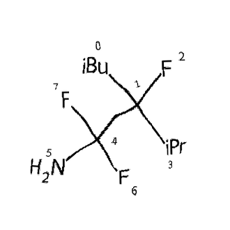 CCC(C)C(F)(C(C)C)C(N)(F)F